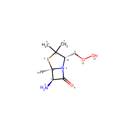 CC1(C)S[C@@H]2[C@H](N)C(=O)N2[C@H]1COO